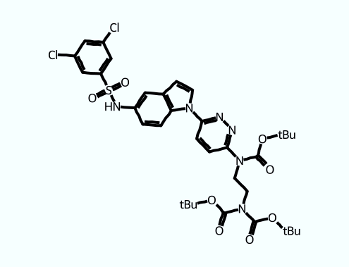 CC(C)(C)OC(=O)N(CCN(C(=O)OC(C)(C)C)c1ccc(-n2ccc3cc(NS(=O)(=O)c4cc(Cl)cc(Cl)c4)ccc32)nn1)C(=O)OC(C)(C)C